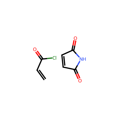 C=CC(=O)Cl.O=C1C=CC(=O)N1